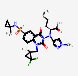 CSCC[C@@H](C(=O)O)N(c1cnn(C)c1)n1c(=O)c2cc(S(=O)(=O)NC3(C)CC3)ccc2n(CC2(C)CC2(F)F)c1=O